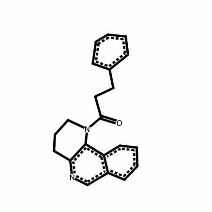 O=C(CCc1ccccc1)N1CCCc2ncc3ccccc3c21